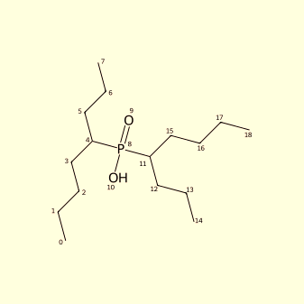 CCCCC(CCC)P(=O)(O)C(CCC)CCCC